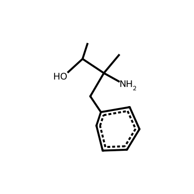 CC(O)C(C)(N)Cc1ccccc1